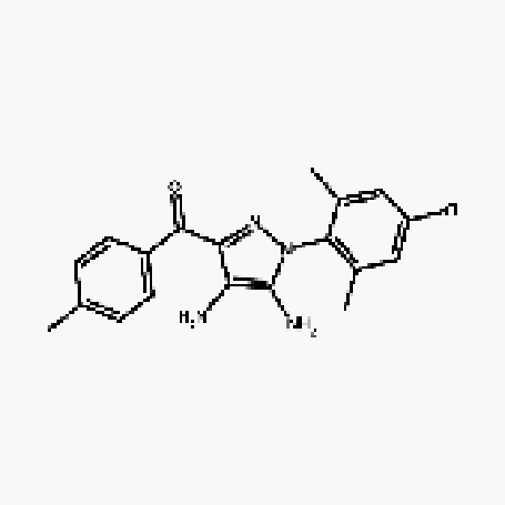 Cc1ccc(C(=O)c2nn(-c3c(C)cc(Cl)cc3C)c(N)c2N)cc1